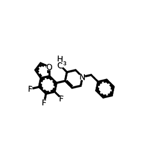 CC1CN(Cc2ccccc2)CC=C1c1c(F)c(F)c(F)c2ccoc12